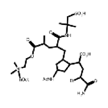 CCCCCCCC[N+](C)(C)CCOC(=O)C(C)CC(CC1CC(NC(C)=O)CC1C(CC(CC)C(N)=O)C(=O)O)C(=O)NC(C)(C)CS(=O)(=O)O